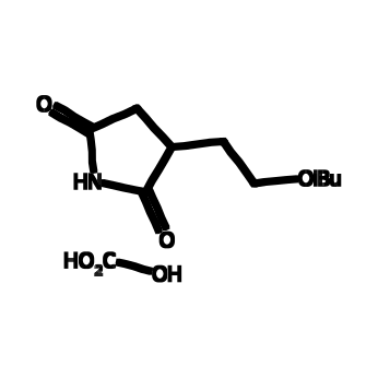 CC(C)COCCC1CC(=O)NC1=O.O=C(O)O